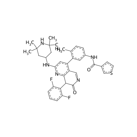 Cc1ccc(NC(=O)c2ccsc2)cc1-c1cc(NC2CC(C)(C)NC(C)(C)C2)nc2c1C=NC(=O)C2c1c(F)cccc1F